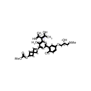 CNC[C@@H](O)COc1ccc(Cl)c(-c2nc(/C(C(C)=N)=C(\C)O)c(C)c(N3CC4(CC(OC(=O)OC)C4)C3)n2)c1